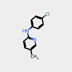 Cc1ccc(Nc2ccc(Cl)cc2)nc1